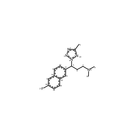 Cc1nnn(C(CCN(C)C)c2ccc3cc(F)ccc3c2)n1